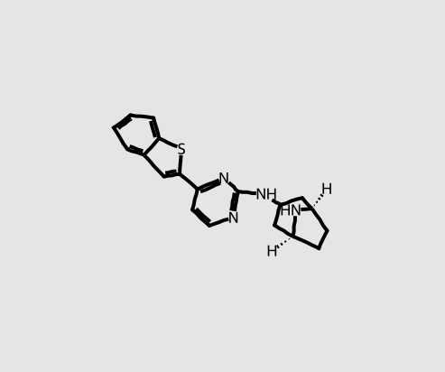 c1ccc2sc(-c3ccnc(NC4C[C@H]5CC[C@@H](C4)N5)n3)cc2c1